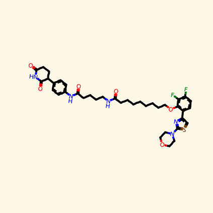 O=C(CCCCCCCCOc1c(-c2csc(N3CCOCC3)n2)ccc(F)c1F)NCCCCC(=O)Nc1ccc(C2CCC(=O)NC2=O)cc1